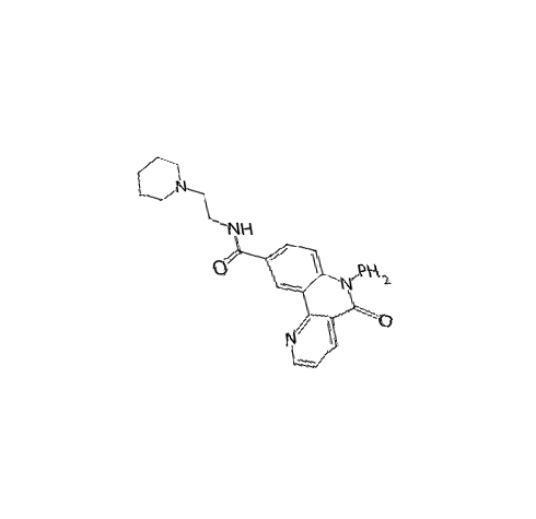 O=C(NCCN1CCCCC1)c1ccc2c(c1)c1ncccc1c(=O)n2P